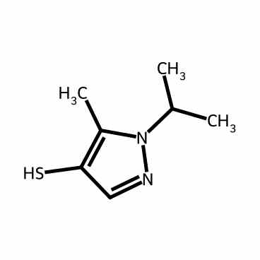 Cc1c(S)cnn1C(C)C